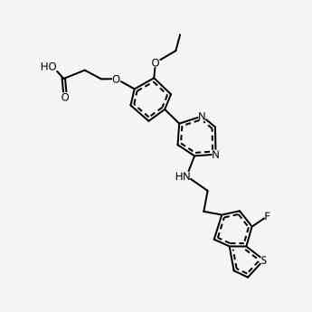 CCOc1cc(-c2cc(NCCc3cc(F)c4sccc4c3)ncn2)ccc1OCCC(=O)O